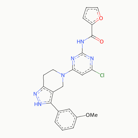 COc1cccc(-c2[nH]nc3c2CN(c2cc(Cl)nc(NC(=O)c4ccco4)n2)CC3)c1